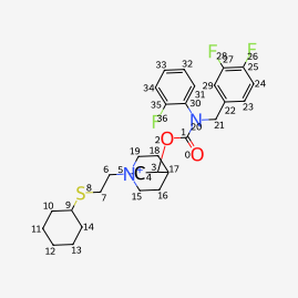 O=C(OC1C[N+]2(CCSC3CCCCC3)CCC1CC2)N(Cc1ccc(F)c(F)c1)c1ccccc1F